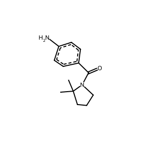 CC1(C)CCCN1C(=O)c1ccc(N)cc1